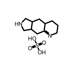 C1CN=C2CC3CNCC3CC2C1.O=S(=O)(O)O